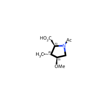 CO[C@@H]1CN(C(C)=O)[C@H](C(=O)O)[C@H]1C